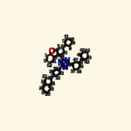 C1=CC2Oc3cc(-c4ccccc4)cc(-c4nc(-c5ccc(-c6ccc7ccccc7c6)cc5)nc(-c5cccc(-c6ccccc6)c5)n4)c3C2C=C1